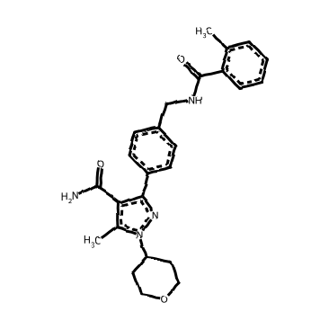 Cc1ccccc1C(=O)NCc1ccc(-c2nn(C3CCOCC3)c(C)c2C(N)=O)cc1